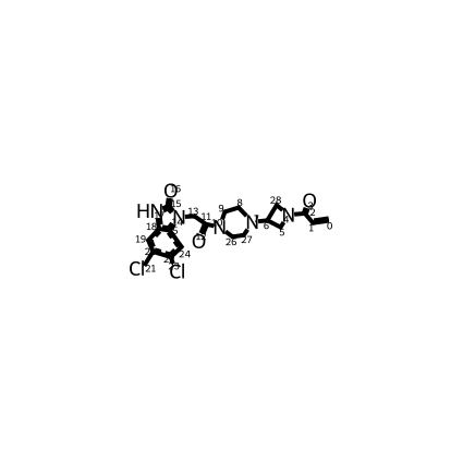 C=CC(=O)N1CC(N2CCN(C(=O)Cn3c(=O)[nH]c4cc(Cl)c(Cl)cc43)CC2)C1